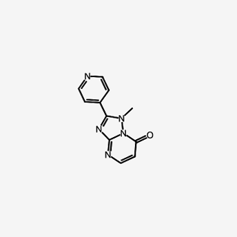 Cn1c(-c2ccncc2)nc2nccc(=O)n21